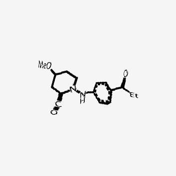 CCC(=O)c1ccc(NN2CCC(OC)CC2=C=O)cc1